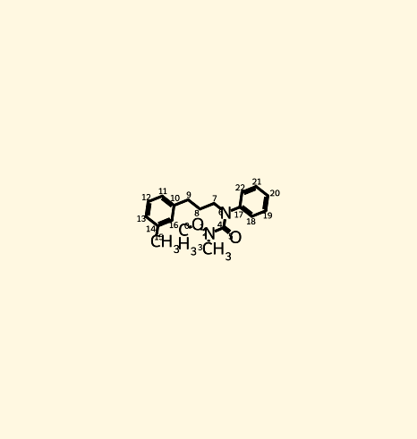 CON(C)C(=O)N(CCCc1cccc(C)c1)c1ccccc1